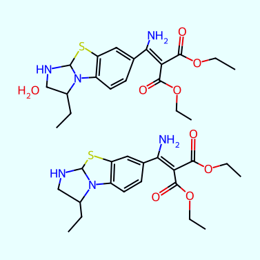 CCOC(=O)C(C(=O)OCC)=C(N)c1ccc2c(c1)SC1NCC(CC)N21.CCOC(=O)C(C(=O)OCC)=C(N)c1ccc2c(c1)SC1NCC(CC)N21.O